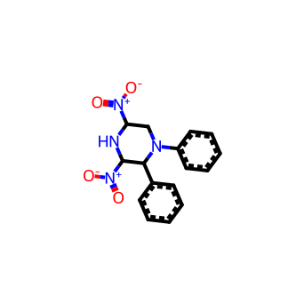 O=[N+]([O-])C1CN(c2ccccc2)C(c2ccccc2)C([N+](=O)[O-])N1